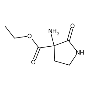 CCOC(=O)C1(N)CCNC1=O